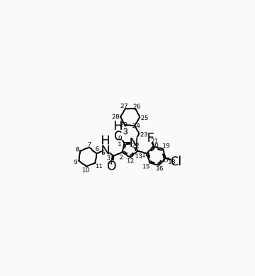 Cc1c(C(=O)NC2CCCCC2)cc(-c2ccc(Cl)cc2F)n1CC1CCCCC1